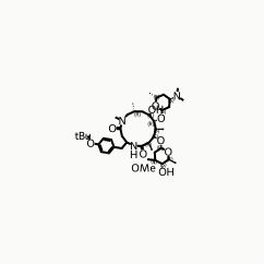 CO[C@]1(C)C[C@H](O[C@H]2[C@H](C)[C@@H](O[C@H]3C[C@@H](N(C)C)C[C@@H](C)O3)[C@H](O)C[C@@H](C)CN(C)C(=O)CC(Cc3ccc(OC(C)(C)C)cc3)NC(=O)[C@@H]2C)O[C@@H](C)[C@@H]1O